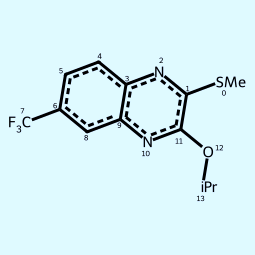 CSc1nc2ccc(C(F)(F)F)cc2nc1OC(C)C